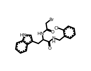 O=C(CBr)NC(Cc1c[nH]c2ccccc12)C(=O)NCc1ccccc1Cl